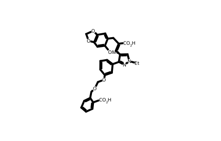 CCn1cc(C=C(Cc2cc3c(cc2OC)OCO3)C(=O)O)c(-c2cccc(OCOCc3ccccc3C(=O)O)c2)n1